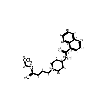 O=C(CCCN1CCC(NC(=O)c2cccc3ccccc23)CC1)OCC(Cl)(Cl)Cl